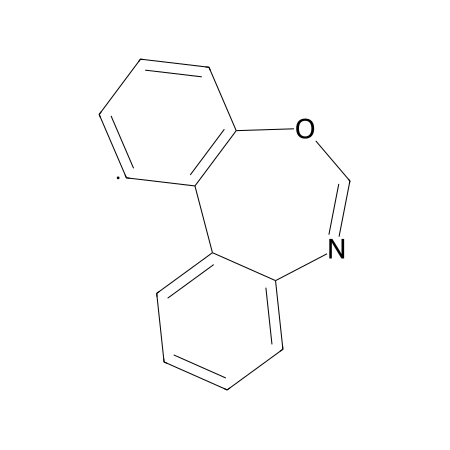 [c]1cccc2c1-c1ccccc1N=CO2